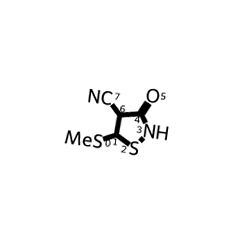 CSC1SNC(=O)C1C#N